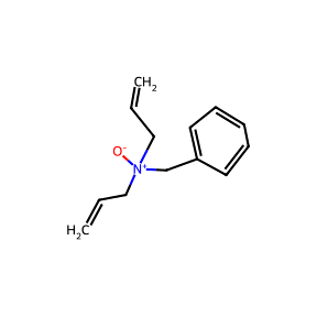 C=CC[N+]([O-])(CC=C)Cc1ccccc1